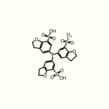 CS(=O)(=O)c1cc(P(c2cc3c(c(S(=O)(=O)O)c2)OCC3)c2cc3c(c(S(=O)(=O)O)c2)OCC3)cc2c1OCC2